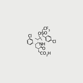 CC([C@@H]1NC(=O)[C@@H](CC(=O)O)C[C@@H]1c1cccc(Cl)c1)C(C)(C)[C@@H](c1ccc(Cl)cc1)S(=O)(=O)CC(F)(F)F